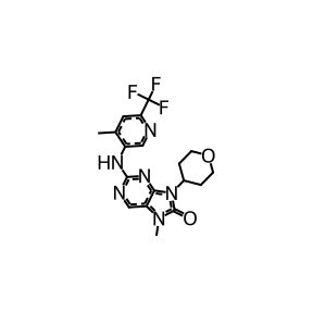 Cc1cc(C(F)(F)F)ncc1Nc1ncc2c(n1)n(C1CCOCC1)c(=O)n2C